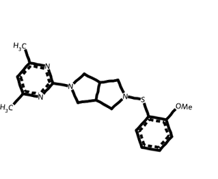 COc1ccccc1SN1CC2CN(c3nc(C)cc(C)n3)CC2C1